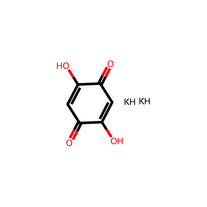 O=C1C=C(O)C(=O)C=C1O.[KH].[KH]